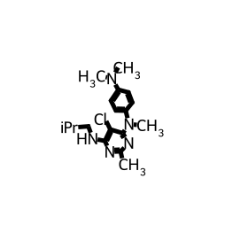 Cc1nc(NCC(C)C)c(Cl)c(N(C)c2ccc(N(C)C)cc2)n1